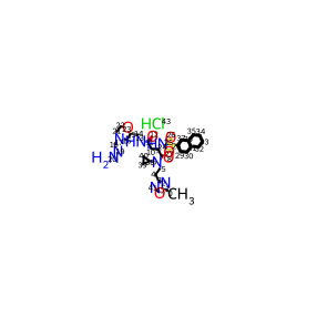 Cc1nc(CCN(C(=O)C(CC(=O)NC[C@H]2CN(C=NN)CCO2)NS(=O)(=O)c2ccc3ccccc3c2)C2CC2)no1.Cl